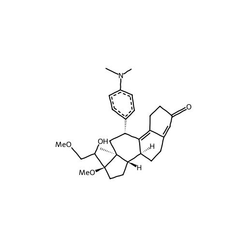 COCC(O)[C@@]1(OC)CC[C@H]2[C@@H]3CCC4=CC(=O)CCC4=C3[C@@H](c3ccc(N(C)C)cc3)C[C@@]21C